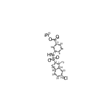 Cc1c(S(=O)(=O)Nc2cccc(C(=O)OC(C)C)c2)sc2ccc(Cl)cc12